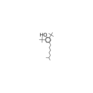 CC(C)CCCCCc1cc(C(C)(C)C)c(O)c(C(C)(C)C)c1